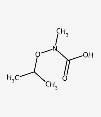 CC(C)ON(C)C(=O)O